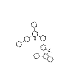 CC1(C)c2cc(-c3cccc(C4N=C(c5ccccc5)C=C(c5ccc(-c6ccccc6)cc5)N4)c3)ccc2-c2c(-c3ccccc3)cc3ccccc3c21